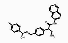 Cc1ccc(C(O)OCc2ccc(C(CN)C(=O)Nc3ccc4cnccc4c3)cc2)cc1